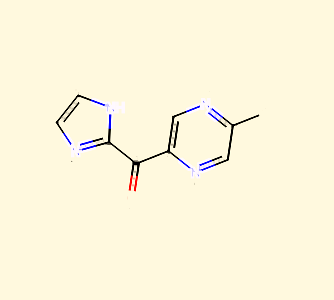 Cc1cnc(C(=O)c2ncc[nH]2)cn1